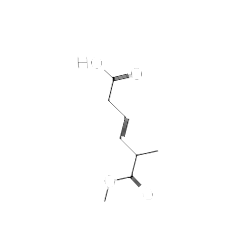 COC(=O)C(C)C=CCC(=O)O